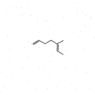 [CH]=CCCC(C)=CC